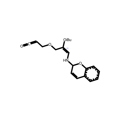 CC(C)CO/C(=C/NC1C=Cc2ccccc2O1)COCC=C=O